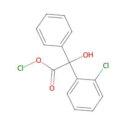 O=C(OCl)C(O)(c1ccccc1)c1ccccc1Cl